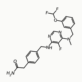 CN(Cc1cccc(OC(F)F)c1)c1ncnc(NCc2ccc(CC(N)=O)cc2)c1F